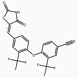 N#Cc1ccc(Oc2ccc(/C=C3/SC(=O)NC3=O)cc2C(F)(F)F)c(C(F)(F)F)c1